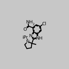 CC(C)N1CCCC1(C)c1nc2c(C(N)=O)cc(Cl)cc2[nH]1